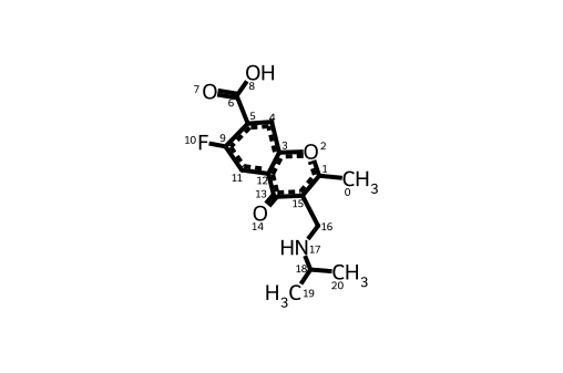 Cc1oc2cc(C(=O)O)c(F)cc2c(=O)c1CNC(C)C